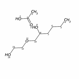 CC(=O)O.CCCCC(O)COCCO